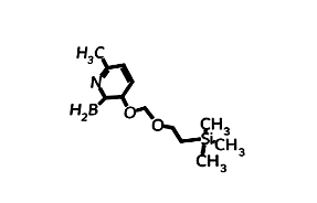 BC1N=C(C)C=CC1OCOCC[Si](C)(C)C